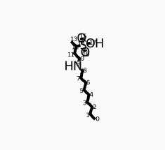 CCCCCCCCCNCCC(C)S(=O)(=O)O